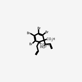 C=CCC1(C(=O)O)C(Br)=C(Br)C(Br)=C(Br)C1(C(=O)O)C(O)C=C